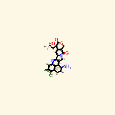 CC[C@@]1(O)C(=O)OCc2c1cc1n(c2=O)Cc2c-1nc1cc(F)c(Cl)c3c1c2C(N)CC3